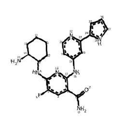 NC(=O)c1cc(F)c(NC2CCCC[C@@H]2N)nc1Nc1ccnc(-c2ccc[nH]2)c1